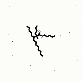 CCCCCCCCC(CCCCC)C(C)(CCCC)C(=O)OCCCCC